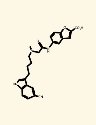 CN(CCCCc1c[nH]c2ccc(C#N)cc12)CC(=O)Nc1ccc2oc(C(=O)O)cc2c1